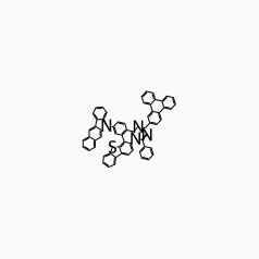 c1ccc(-c2nc(-c3ccc4c5ccccc5c5ccccc5c4c3)nc(-c3ccc(-n4c5ccccc5c5cc6ccccc6cc54)cc3-c3cccc4c3sc3ccccc34)n2)cc1